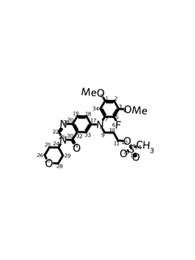 COc1cc(OC)c(F)c(N(CCCOS(C)(=O)=O)c2ccc3ncn(C4CCOCC4)c(=O)c3c2)c1